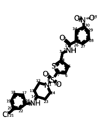 O=C(NCc1ccc(S(=O)(=O)N2CCC(Nc3cccc(Cl)c3)CC2)s1)c1cccc([N+](=O)[O-])c1